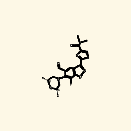 C[C@@H]1CN(c2c(C=O)cc3c(-c4nc(C(=O)N(C)C)cs4)noc3c2F)C[C@H](C)O1